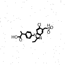 CCc1nc2cc(C[SH](=O)=O)c(Cl)cc2n1-c1ccc(C(C)C(=O)O)cc1